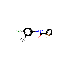 O=C(Nc1ccc(Cl)c(C(=O)O)c1)c1cccs1